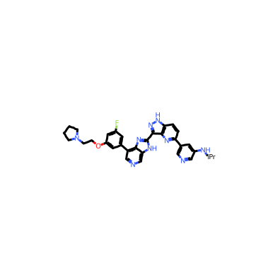 CC(C)Nc1cncc(-c2ccc3[nH]nc(-c4nc5c(-c6cc(F)cc(OCCN7CCCC7)c6)cncc5[nH]4)c3n2)c1